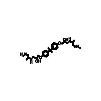 CC(CN)NCC(O)COc1ccc(C(C)(C)c2ccc(OCC(O)CNC(C)CN)cc2)cc1